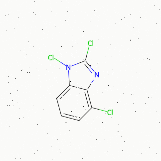 Clc1cccc2c1nc(Cl)n2Cl